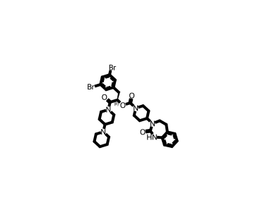 O=C(O[C@H](Cc1cc(Br)cc(Br)c1)C(=O)N1CCC(N2CCCCC2)CC1)N1CCC(N2CCc3ccccc3NC2=O)CC1